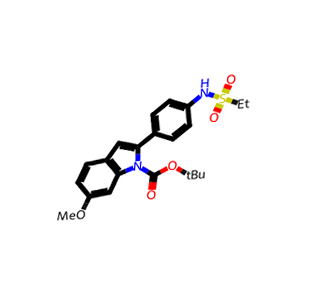 CCS(=O)(=O)Nc1ccc(-c2cc3ccc(OC)cc3n2C(=O)OC(C)(C)C)cc1